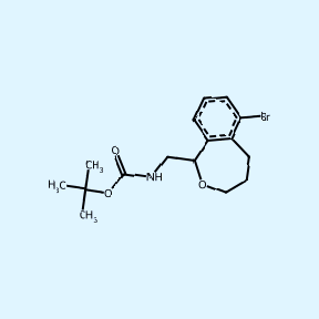 CC(C)(C)OC(=O)NCC1OCCCc2c(Br)cccc21